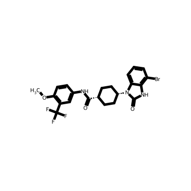 COc1ccc(NC(=O)[C@H]2CC[C@@H](n3c(=O)[nH]c4c(Br)cccc43)CC2)cc1C(F)(F)F